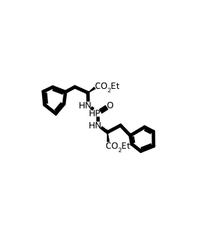 CCOC(=O)[C@H](Cc1ccccc1)N[PH](=O)N[C@@H](Cc1ccccc1)C(=O)OCC